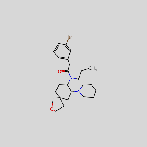 CCCN(C(=O)Cc1cccc(Br)c1)C1CCC2(CCOC2)CC1N1CCCCC1